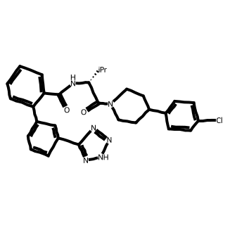 CC(C)[C@@H](NC(=O)c1ccccc1-c1cccc(-c2nn[nH]n2)c1)C(=O)N1CCC(c2ccc(Cl)cc2)CC1